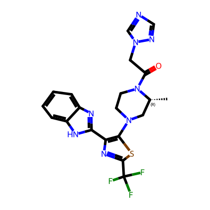 C[C@@H]1CN(c2sc(C(F)(F)F)nc2-c2nc3ccccc3[nH]2)CCN1C(=O)Cn1cncn1